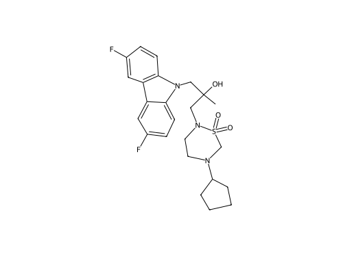 CC(O)(CN1CCN(C2CCCC2)CS1(=O)=O)Cn1c2ccc(F)cc2c2cc(F)ccc21